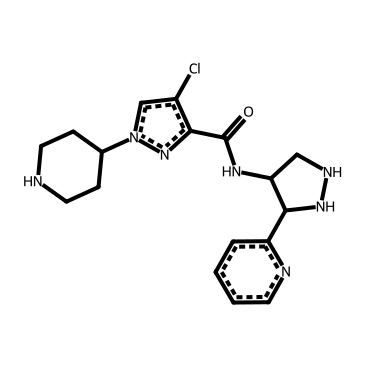 O=C(NC1CNNC1c1ccccn1)c1nn(C2CCNCC2)cc1Cl